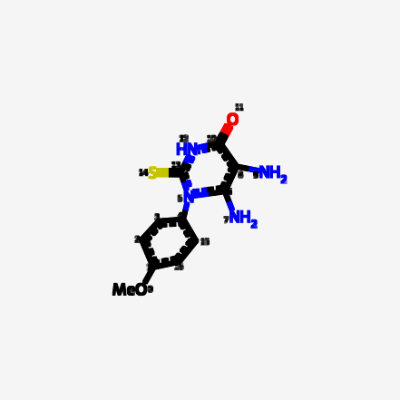 COc1ccc(-n2c(N)c(N)c(=O)[nH]c2=S)cc1